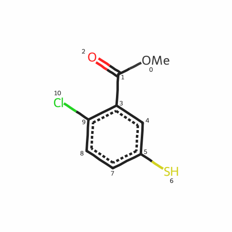 COC(=O)c1cc(S)ccc1Cl